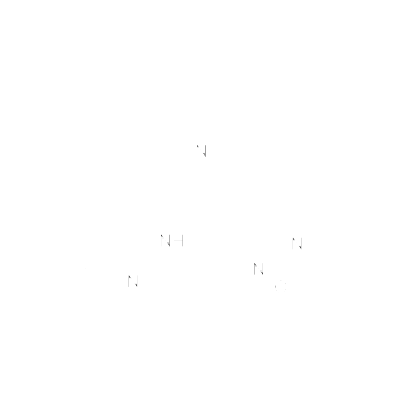 Cc1nc(-c2ccc3c(c2)c(-c2cc4cccnc4[nH]2)cn3C)no1